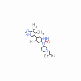 CCC(CC)CN1CCCC(n2c(=O)[nH]c3cc(-c4cn5ncnc5c(C)c4C)c(C(C)C)cc32)C1